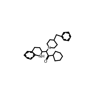 O=C(C1CCCCC1)C(C1CCc2ccccc2N1)N1CCC(Cc2ccccc2)CC1